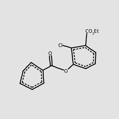 CCOC(=O)c1cccc(OC(=O)c2ccccc2)c1Cl